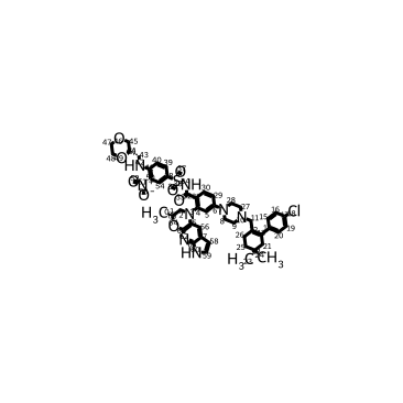 C[C@H]1CN(c2cc(N3CCN(CC4=C(c5ccc(Cl)cc5)CC(C)(C)CC4)CC3)ccc2C(=O)NS(=O)(=O)c2ccc(NC[C@H]3COCCO3)c([N+](=O)[O-])c2)c2cc3cc[nH]c3nc2O1